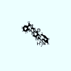 CC#CCn1c(N(C)CC2(N)CC2)nc2cnn(Cc3nc(C)c4ccccc4n3)c(=O)c21